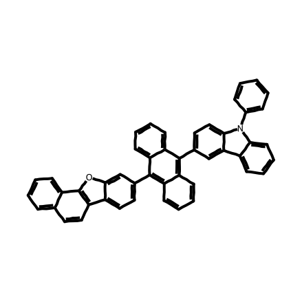 c1ccc(-n2c3ccccc3c3cc(-c4c5ccccc5c(-c5ccc6c(c5)oc5c7ccccc7ccc65)c5ccccc45)ccc32)cc1